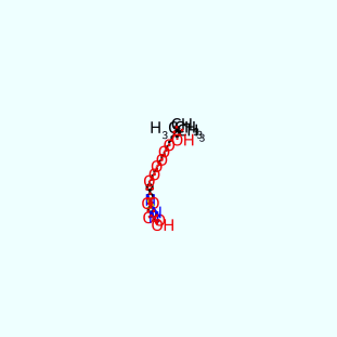 Cc1cc(O)c(CCCOCCOCCOCCOCCOCCOc2ccc(C3CCN(S(=O)(=O)c4ccc5c(=O)n(CC(=O)O)cnc5c4)CC3)cc2)cc1C(C)(C)C